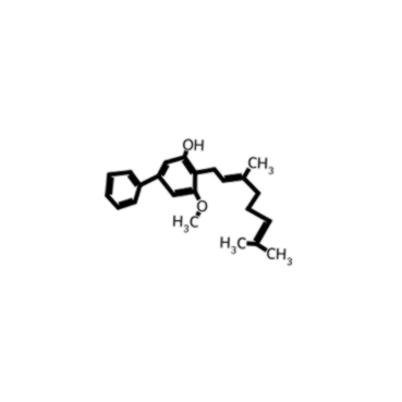 COc1cc(-c2ccccc2)cc(O)c1C/C=C(\C)CCC=C(C)C